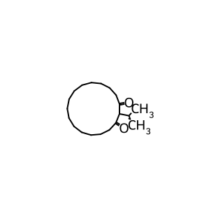 C[C](C)C1C(=O)CCCCCCCCCCCCCCC1=O